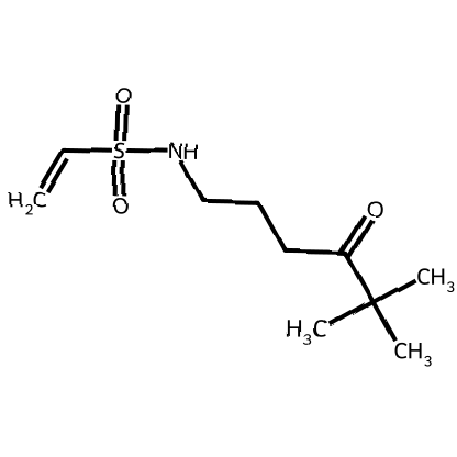 C=CS(=O)(=O)NCCCC(=O)C(C)(C)C